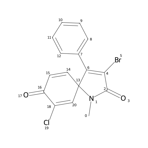 CN1C(=O)C(Br)=C(c2ccccc2)C12C=CC(=O)C(Cl)=C2